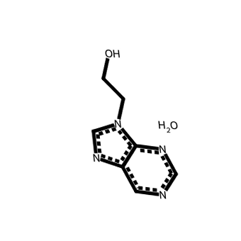 O.OCCn1cnc2cncnc21